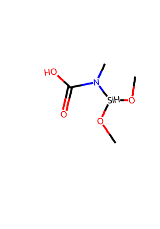 CO[SiH](OC)N(C)C(=O)O